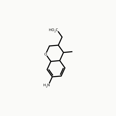 CC1C(CC(=O)O)COC2C=C(N)C=CC21